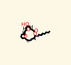 CCCCC=C/C=C/[C@@H]1OC(=O)C[C@@H]2C[C@H](O)C[C@H](C[C@@H]3CCCC(C[C@@H](C)/C=C/[C@@H]1C)O3)O2